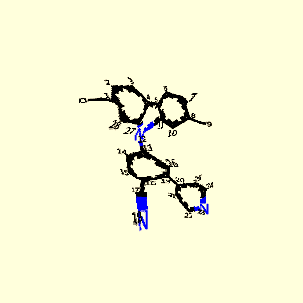 Cc1ccc2c3ccc(C)cc3n(-c3ccc(C#N)c(-c4ccncc4)c3)c2c1